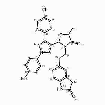 CC1OC(c2cn(-c3ccc(Br)cc3)nc2-c2ccc(Cl)cn2)N(CCc2ccc3c(c2)CC(=O)N3)C1=O